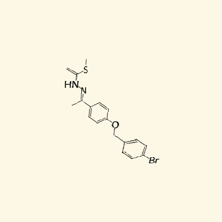 C=C(N/N=C(\C)c1ccc(OCc2ccc(Br)cc2)cc1)SC